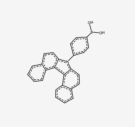 OB(O)c1ccc(-n2c3ccc4ccccc4c3c3c4ccccc4ccc32)cc1